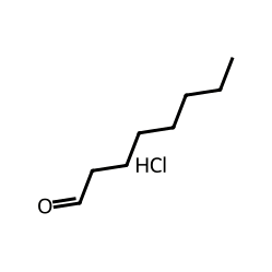 CCCCCCCC=O.Cl